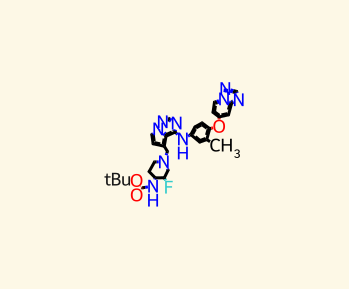 Cc1cc(Nc2ncnn3ccc(CN4CCC(NC(=O)OC(C)(C)C)C(F)C4)c23)ccc1Oc1ccn2ncnc2c1